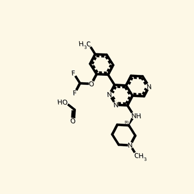 Cc1ccc(-c2nnc(N[C@@H]3CCCN(C)C3)c3cnccc23)c(OC(F)F)c1.O=CO